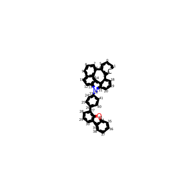 c1ccc2c(c1)-c1cccc3ccc4c(c13)c1c-2cccc1n4-c1ccc(-c2cccc3c2oc2ccccc23)cc1